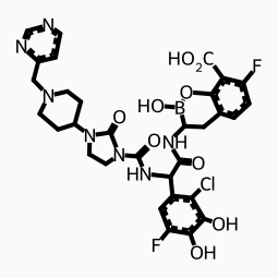 O=C(O)c1c(F)ccc2c1OB(O)C(NC(=O)C(NC(=O)N1CCN(C3CCN(Cc4ccncn4)CC3)C1=O)c1cc(F)c(O)c(O)c1Cl)C2